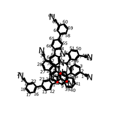 N#Cc1cccc(-c2ccc3c4ccc(-c5cccc(C#N)c5)cc4n(-c4ccc(C#N)cc4-c4nc(-c5ccccc5)nc(-c5cc(C#N)ccc5-n5c6cc(-c7cccc(C#N)c7)ccc6c6ccc(-c7cccc(C#N)c7)cc65)n4)c3c2)c1